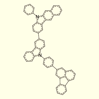 c1ccc(-n2c3ccc(-c4ccc5c(c4)c4ccccc4n5-c4ccc(-c5cc6c7c(cccc7c5)-c5ccccc5-6)cc4)cc3c3cc4ccccc4cc32)cc1